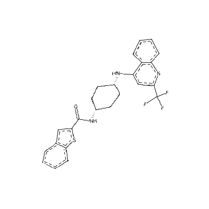 O=C(N[C@H]1CC[C@@H](Nc2cc(C(F)(F)F)nc3ccccc23)CC1)c1cc2ccccc2s1